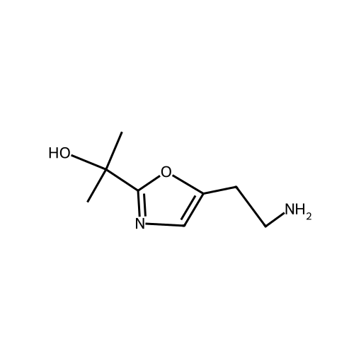 CC(C)(O)c1ncc(CCN)o1